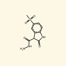 CS(=O)(=O)c1ccc2c(c1)C(C(=O)NN)C(=O)N2